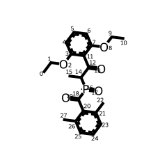 CCOc1cccc(OCC)c1C(=O)C(C)[P](=O)C(=O)c1c(C)cccc1C